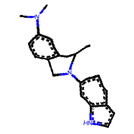 CC1c2cc(N(C)C)ccc2CN1c1ccc2cc[nH]c2c1